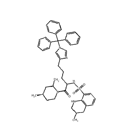 [CH2]C1C[C@H](C)CCN1C(=O)C(CCCc1cn(C(c2ccccc2)(c2ccccc2)c2ccccc2)cn1)NS(=O)(=O)c1cccc2c1NCC(C)C2